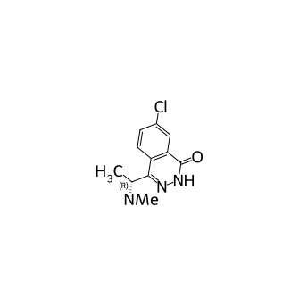 CN[C@H](C)c1n[nH]c(=O)c2cc(Cl)ccc12